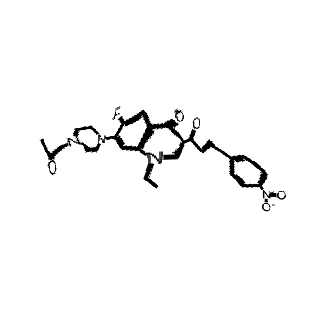 CCn1cc(C(=O)/C=C/c2ccc([N+](=O)[O-])cc2)c(=O)c2cc(F)c(N3CCN(C(C)=O)CC3)cc21